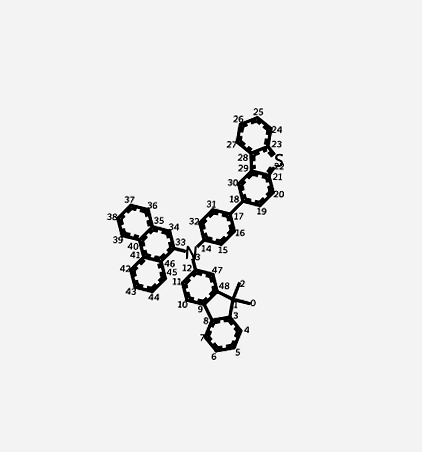 CC1(C)c2ccccc2-c2ccc(N(c3ccc(-c4ccc5sc6ccccc6c5c4)cc3)c3cc4ccccc4c4ccccc34)cc21